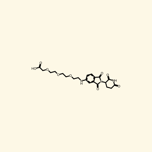 O=C(O)COCCOCCOCCNc1ccc2c(c1)C(=O)N(C1CCC(=O)NC1=O)C2=O